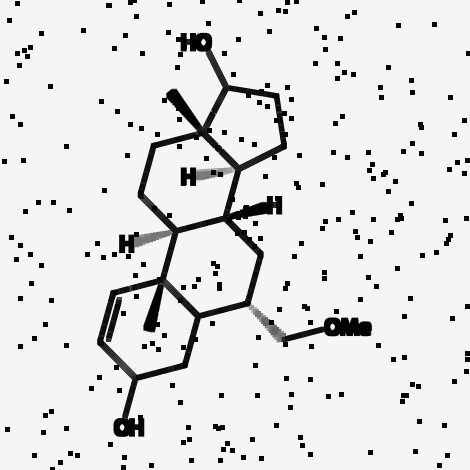 COC[C@H]1C[C@@H]2[C@H](CC[C@]3(C)C(O)CC[C@@H]23)[C@@]2(C)C=CC(O)CC12